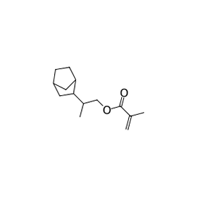 C=C(C)C(=O)OCC(C)C1CC2CCC1C2